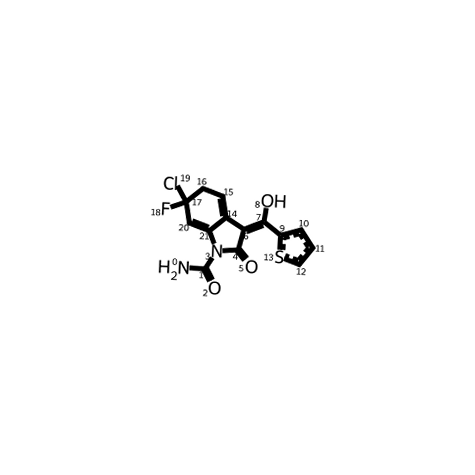 NC(=O)N1C(=O)C(=C(O)c2cccs2)C2=CCC(F)(Cl)C=C21